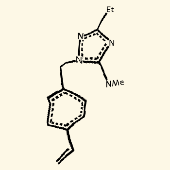 C=Cc1ccc(Cn2nc(CC)nc2NC)cc1